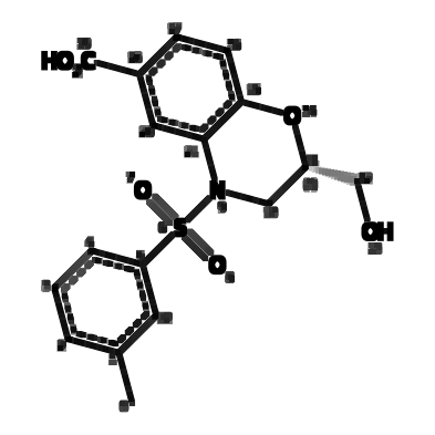 Cc1cccc(S(=O)(=O)N2C[C@@H](CO)Oc3ccc(C(=O)O)cc32)c1